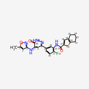 Cc1cc(Nc2cc(-c3ccc(F)c(NC(=O)c4cc5c(s4)CCCC5)c3)n[nH]c2=O)no1